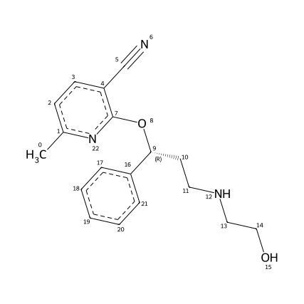 Cc1ccc(C#N)c(O[C@H](CCNCCO)c2ccccc2)n1